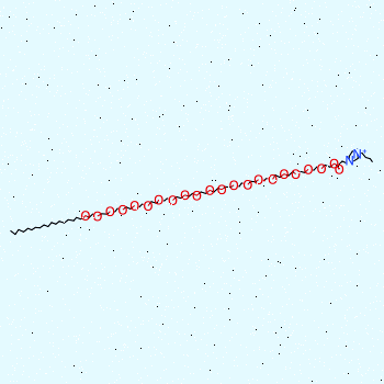 CCCCCCCCCCCCCCCCCCOCCOCCOCCOCCOCCOCCOCCOCCOCCOCCOCCOCCOCCOCCOCCOCCOCCOCCOCCOCCOC(=O)CCN1CC[N+](C)(CCCC)CC1